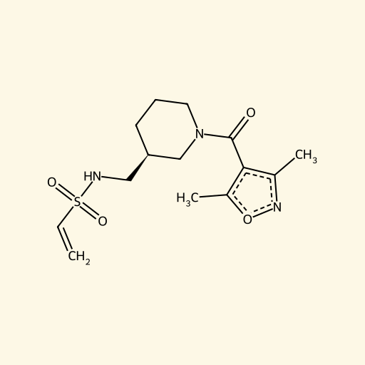 C=CS(=O)(=O)NC[C@H]1CCCN(C(=O)c2c(C)noc2C)C1